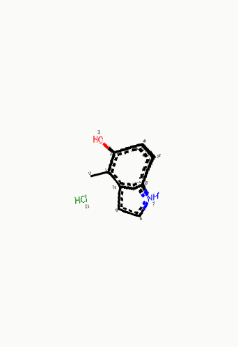 Cc1c(O)ccc2[nH]ccc12.Cl